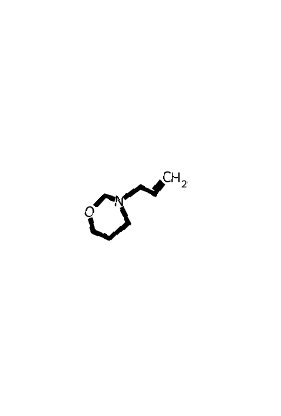 C=CCN1CCCOC1